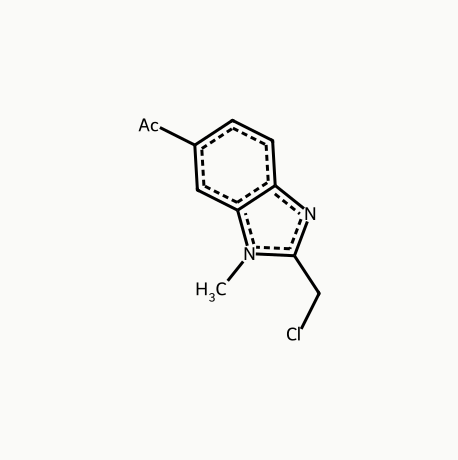 CC(=O)c1ccc2nc(CCl)n(C)c2c1